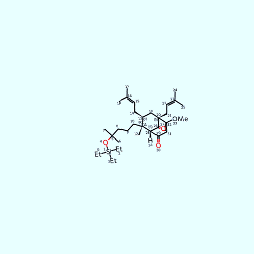 CC[Si](CC)(CC)OC(C)(C)CCC[C@]1(C)[C@@H](CC=C(C)C)C[C@@]2(CC=C(C)C)C(=O)[C@@H]1C(=O)C=C2OC